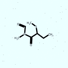 CCC(SC)C(=O)N(C)C=O